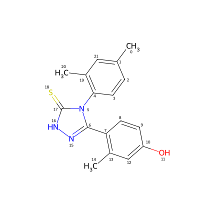 Cc1ccc(-n2c(-c3ccc(O)cc3C)n[nH]c2=S)c(C)c1